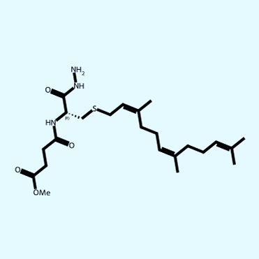 COC(=O)CCC(=O)N[C@@H](CSCC=C(C)CCC=C(C)CCC=C(C)C)C(=O)NN